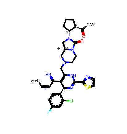 CN/C=C\C(=N)C1=C(CN2CCN3C(=O)N([C@@H]4CCC[C@H]4C(=O)OC)C[C@@H]3C2)NC(c2nccs2)=N[C@H]1c1ccc(F)cc1Cl